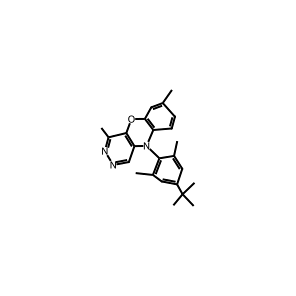 Cc1ccc2c(c1)Oc1c(cnnc1C)N2c1c(C)cc(C(C)(C)C)cc1C